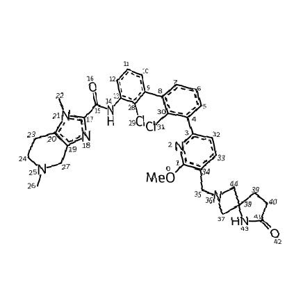 COc1nc(-c2cccc(-c3cccc(NC(=O)c4nc5c(n4C)CCN(C)C5)c3Cl)c2Cl)ccc1CN1CC2(CCC(=O)N2)C1